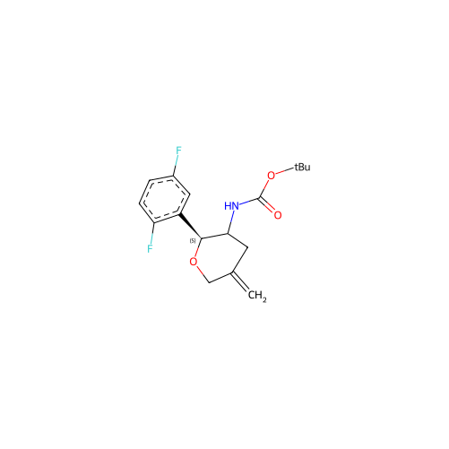 C=C1CO[C@@H](c2cc(F)ccc2F)C(NC(=O)OC(C)(C)C)C1